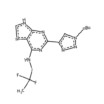 CCCCn1cc(-c2nc(NCC(C)(F)F)c3nc[nH]c3n2)nn1